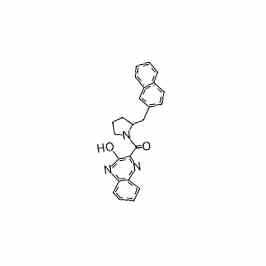 O=C(c1nc2ccccc2nc1O)N1CCCC1Cc1ccc2ccccc2c1